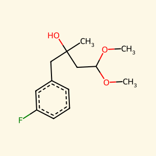 COC(CC(C)(O)Cc1cccc(F)c1)OC